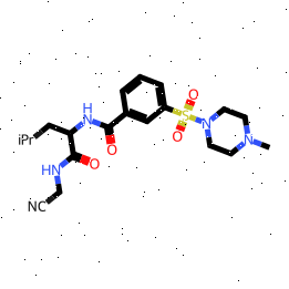 CC(C)CC(NC(=O)c1cccc(S(=O)(=O)N2CCN(C)CC2)c1)C(=O)NCC#N